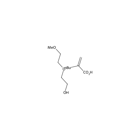 C=C(CCCC)C(=O)O.COCCOCCO